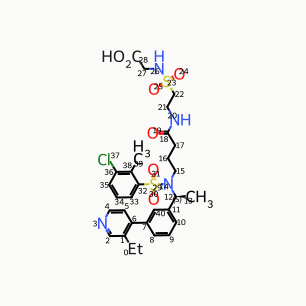 CCc1cnccc1-c1cccc([C@H](C)N(CCCC(=O)NCCS(=O)(=O)NCC(=O)O)S(=O)(=O)c2cccc(Cl)c2C)c1